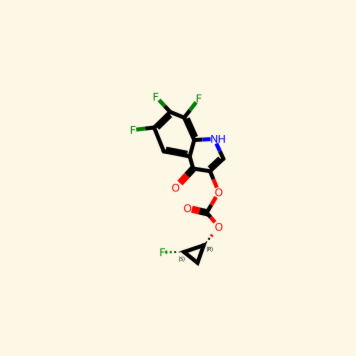 O=C(Oc1c[nH]c2c(F)c(F)c(F)cc2c1=O)O[C@@H]1C[C@@H]1F